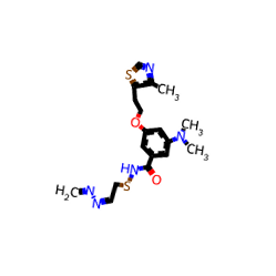 C=N/N=C\CSNC(=O)c1cc(OCCc2scnc2C)cc(N(C)C)c1